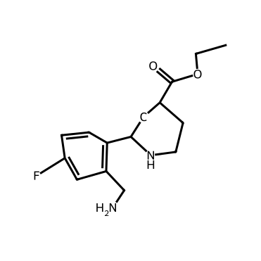 CCOC(=O)C1CCNC(c2ccc(F)cc2CN)C1